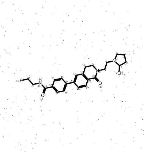 CC1CCCN1CCN1CCc2cc(-c3ccc(C(=O)NCCF)cc3)ccc2C1=O